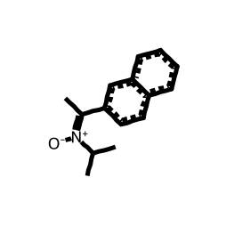 C/C(c1ccc2ccccc2c1)=[N+](\[O-])C(C)C